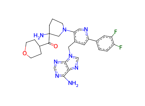 Nc1ncnc2c1ncn2Cc1cc(-c2ccc(F)c(F)c2)ncc1N1CCCC(N)(C(=O)C2CCOCC2)C1